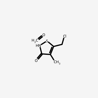 C=O.Cc1c(CCl)s[nH]c1=O